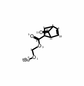 CC(C)(C)OCOC(=O)C1CC2C=CC1C2=O